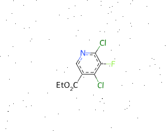 CCOC(=O)c1cnc(Cl)c(F)c1Cl